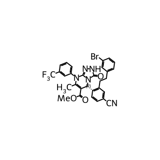 COC(=O)C1=C(C)N(c2cccc(C(F)(F)F)c2)c2n[nH]c(=O)n2[C@@H]1c1ccc(C#N)cc1CCc1cccc(Br)c1